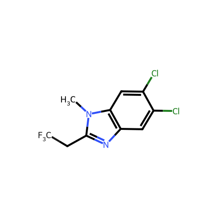 Cn1c(CC(F)(F)F)nc2cc(Cl)c(Cl)cc21